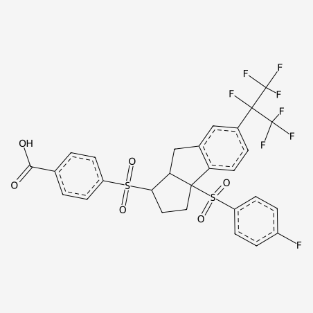 O=C(O)c1ccc(S(=O)(=O)C2CCC3(S(=O)(=O)c4ccc(F)cc4)c4ccc(C(F)(C(F)(F)F)C(F)(F)F)cc4CC23)cc1